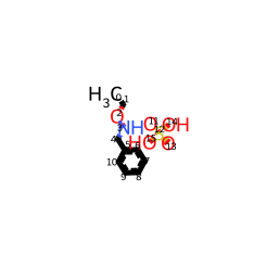 CCONCc1ccccc1.O=S(=O)(O)O